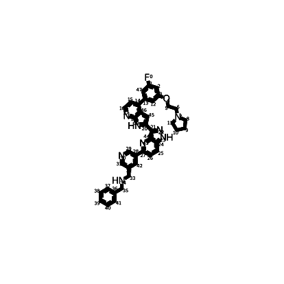 Fc1cc(OCCN2CCCC2)cc(-c2ccnc3[nH]c(-c4n[nH]c5ccc(-c6cncc(CNCc7ccccc7)c6)nc45)cc23)c1